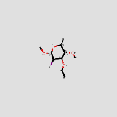 CCO[C@H]1C(I)[C@H](OC)O[C@@H](C)[C@@H]1OC